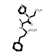 CCOC(=O)[C@H](CCc1ccccc1)N[C@@H](C)C(=O)N(CC(=O)O)n1ccnc1